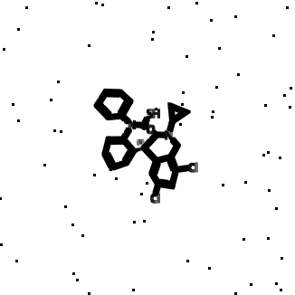 O=C(S)N(c1ccccc1)c1ccccc1[C@@H]1CN(C2CC2)Cc2c(Cl)cc(Cl)cc21